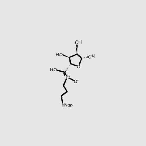 CCCCCCCCCCCC/[P+]([O-])=C(\O)[C@H]1O[C@@H](O)[C@H](O)[C@@H]1O